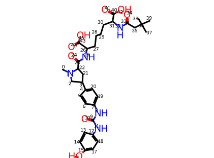 CN1CC(c2ccc(NC(=O)Nc3ccc(O)cc3)cc2)CC1C(=O)NC(CCCCC(NC(=O)CC(C)(C)C)C(=O)O)C(=O)O